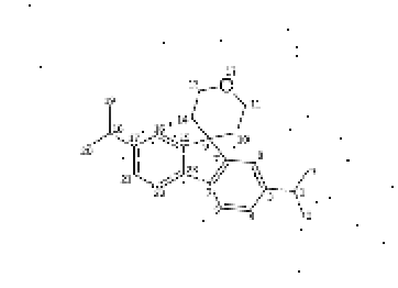 CC(C)c1ccc2c(c1)C1(CCOCC1)c1cc(C(C)C)ccc1-2